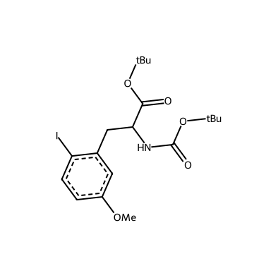 COc1ccc(I)c(CC(NC(=O)OC(C)(C)C)C(=O)OC(C)(C)C)c1